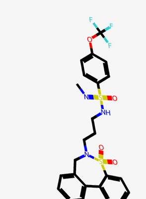 CN=S(=O)(NCCCN1Cc2ccccc2-c2ccccc2S1(=O)=O)c1ccc(OC(F)(F)F)cc1